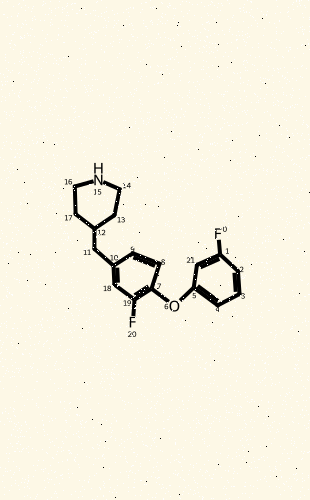 Fc1cccc(Oc2ccc(CC3CCNCC3)cc2F)c1